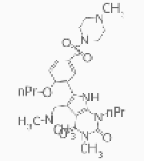 CCCOc1ccc(S(=O)(=O)N2CCN(C)CC2)cc1-c1[nH]c2c(c1CN(C)C)c(=O)n(C)c(=O)n2CCC